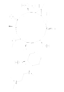 CO[C@@]1(C)C[C@@H](C)C(=O)[C@H](C)[C@@H](O)[C@@]2(O)C(C)[C@H]2OC(=O)[C@H](C)[C@@H](O)[C@H](C)[C@H]1O[C@@H]1O[C@H](C)C[C@H](N(C)CCN(C)C)[C@H]1O